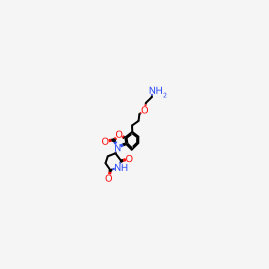 NCCOCCCc1cccc2c1oc(=O)n2C1CCC(=O)NC1=O